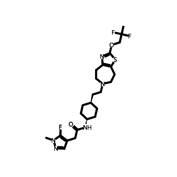 Cn1ncc(CC(=O)N[C@H]2CC[C@H](CCN3CCc4nc(OCC(C)(F)F)sc4CC3)CC2)c1F